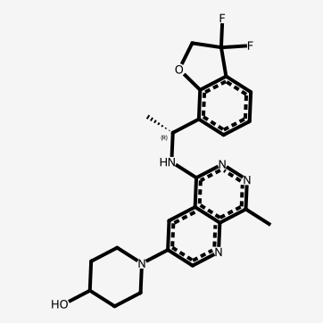 Cc1nnc(N[C@H](C)c2cccc3c2OCC3(F)F)c2cc(N3CCC(O)CC3)cnc12